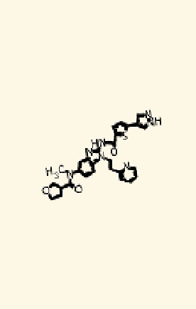 CN(C(=O)C1CCOC1)c1ccc2c(c1)nc(NC(=O)c1ccc(-c3cn[nH]c3)s1)n2CCc1ccccn1